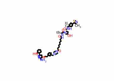 Cc1ncsc1-c1ccc([C@H](C)NC(=O)[C@@H]2C[C@@H](O)CN2C(=O)[C@@H](NC(=O)CCCCCCCCC(=O)N2CCN(Cc3cccc(CCOc4cc(-c5ccccc5O)nnc4N)c3)CC2)C(C)(C)C)cc1